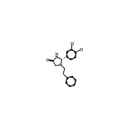 O=C1CN(CCc2ccccc2)[C@@H](c2ccc(Cl)c(Cl)c2)N1